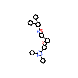 c1ccc(-c2nc(-c3ccccc3)nc(-c3ccc4c(c3)oc3c(-c5ccc6nc(-c7ccc(-c8ccccc8)c(-c8ccccc8)c7)oc6c5)cccc34)n2)cc1